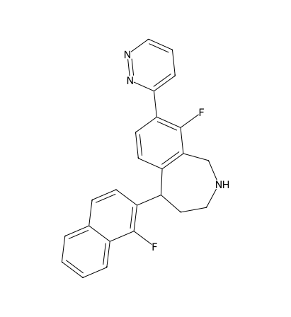 Fc1c(-c2cccnn2)ccc2c1CNCCC2c1ccc2ccccc2c1F